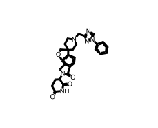 O=C1CCC(N2Cc3c(ccc4c3OCC43CCN(Cc4ncn(-c5ccccc5)n4)CC3)C2=O)C(=O)N1